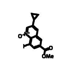 COC(=O)c1cc(I)c2c(c1)cc(C1CC1)c[n+]2[O-]